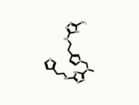 CN(Cn1ccc(CCNc2nnc(N)[nH]2)c1)c1nnc(NCCc2ccoc2)[nH]1